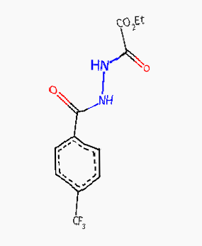 CCOC(=O)C(=O)NNC(=O)c1ccc(C(F)(F)F)cc1